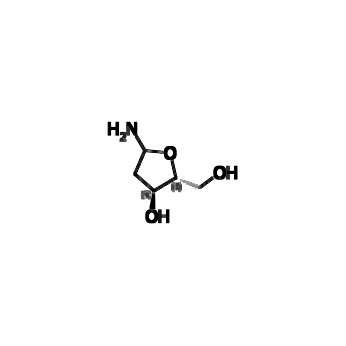 NC1C[C@H](O)[C@@H](CO)O1